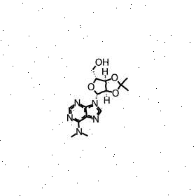 CN(C)c1ncnc2c1ncn2[C@@H]1O[C@H](CO)[C@H]2OC(C)(C)O[C@H]21